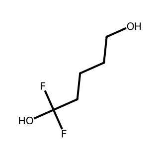 OCCCCC(O)(F)F